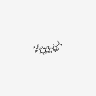 CC(C)c1cc(-c2nc3cc(C(F)(F)F)ccc3[nH]2)no1